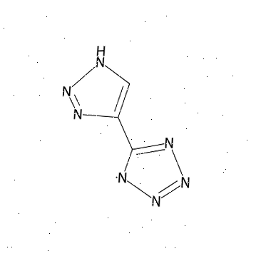 c1[nH]nnc1C1=NN=N[N]1